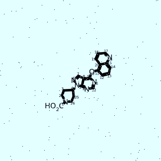 O=C(O)N1CCC(n2ncc3c(Oc4cccc5ncccc45)ncnc32)CC1